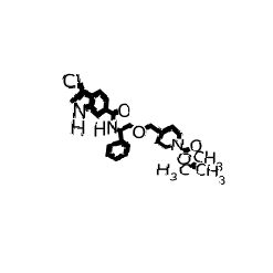 CC(C)(C)OC(=O)N1CCC(COCC(NC(=O)c2ccc3c(Cl)c[nH]c3c2)c2ccccc2)CC1